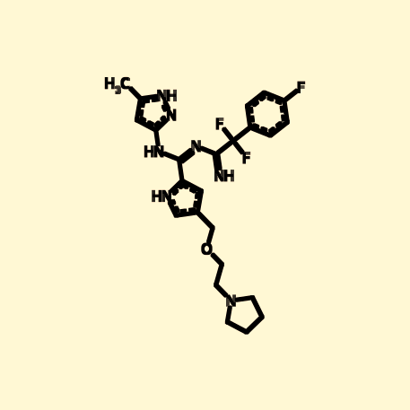 Cc1cc(N/C(=N/C(=N)C(F)(F)c2ccc(F)cc2)c2cc(COCCN3CCCC3)c[nH]2)n[nH]1